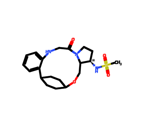 CS(=O)(=O)N[C@H]1CCN2C(=O)CNc3ccccc3C3CCC(CC3)OCC12